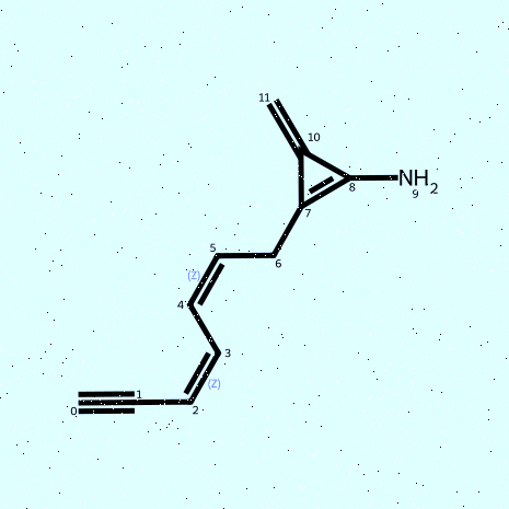 C#C/C=C\C=C/CC1=C(N)C1=C